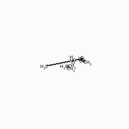 CCCCCCCCCCCCCCCCCNC(=O)OCCCOP(=O)(O)OCC.CN(C)C